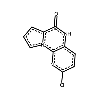 O=c1[nH]c2ccc(Cl)nc2n2cccc12